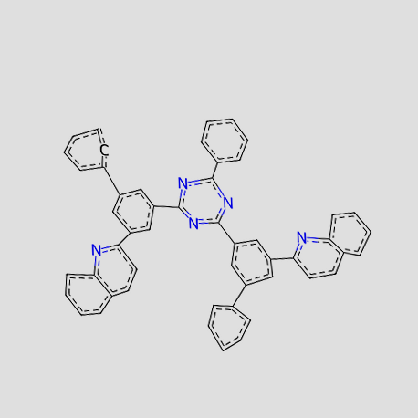 c1ccc(-c2cc(-c3ccc4ccccc4n3)cc(-c3nc(-c4ccccc4)nc(-c4cc(-c5ccccc5)cc(-c5ccc6ccccc6n5)c4)n3)c2)cc1